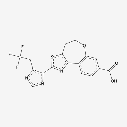 O=C(O)c1ccc2c(c1)OCCc1sc(-c3ncnn3CC(F)(F)F)nc1-2